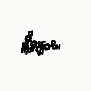 CO[n+]1cc(-c2cc(Cl)ccc2-n2cnnn2)ccc1C(CC1CC1)C(=O)Nc1ccc(C(=O)O)cc1C